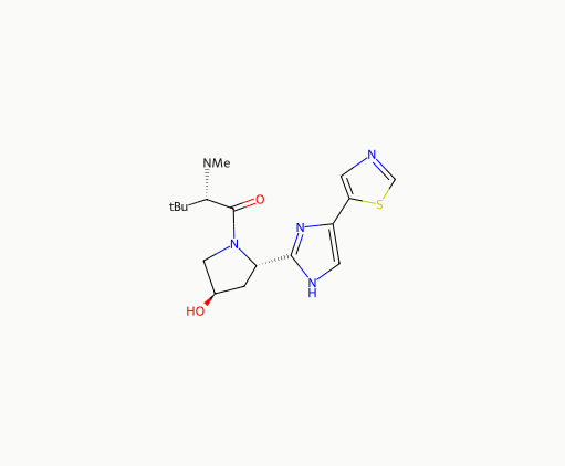 CN[C@H](C(=O)N1C[C@H](O)C[C@H]1c1nc(-c2cncs2)c[nH]1)C(C)(C)C